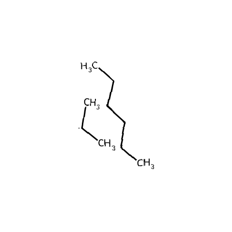 CCCCCC.C[CH]C